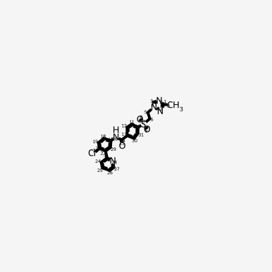 Cc1ncn(CCS(=O)(=O)c2ccc(C(=O)Nc3ccc(Cl)c(-c4ccccn4)c3)cc2)n1